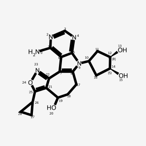 Nc1ncnc2c1c1c(n2C2C[C@@H](O)[C@@H](O)C2)CCC(O)c2c-1noc2C1CC1